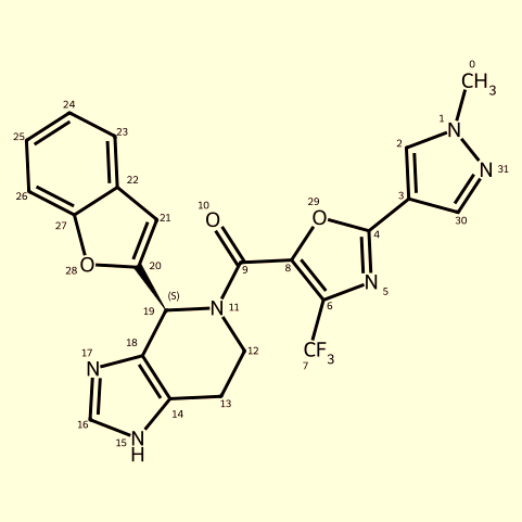 Cn1cc(-c2nc(C(F)(F)F)c(C(=O)N3CCc4[nH]cnc4[C@H]3c3cc4ccccc4o3)o2)cn1